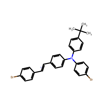 CC(C)(C)c1ccc(N(c2ccc(Br)cc2)c2ccc(/C=C/c3ccc(Br)cc3)cc2)cc1